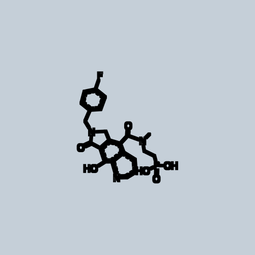 CN(CCP(=O)(O)O)C(=O)c1c2c(c(O)c3ncccc13)C(=O)N(Cc1ccc(F)cc1)C2